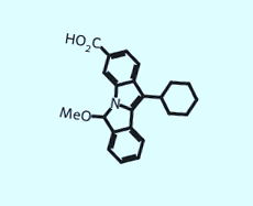 COC1c2ccccc2-c2c(C3CCCCC3)c3ccc(C(=O)O)cc3n21